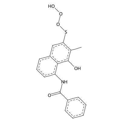 Cc1c(SOOO)cc2cccc(NC(=O)c3ccccc3)c2c1O